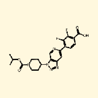 CC(C)OC(=O)N1CCC(n2nnc3cc(-c4ccc(C(=O)O)c(F)c4F)ncc32)CC1